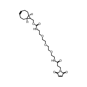 O=C(CCN1C(=O)C=CC1=O)NCCOCCOCCOCCNC(=O)OCC1[C@H]2CCC#CCC[C@@H]12